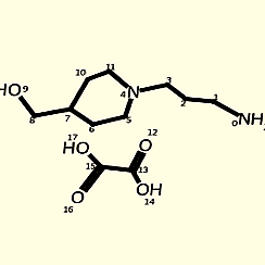 NCCCN1CCC(CO)CC1.O=C(O)C(=O)O